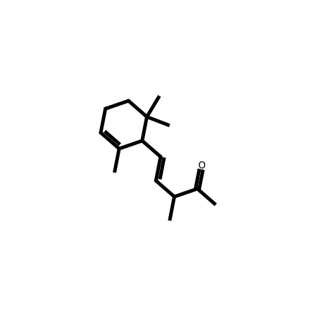 CC(=O)C(C)C=CC1C(C)=CCCC1(C)C